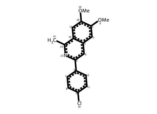 COc1cc2cc(-c3ccc(Cl)cc3)nc(C)c2cc1OC